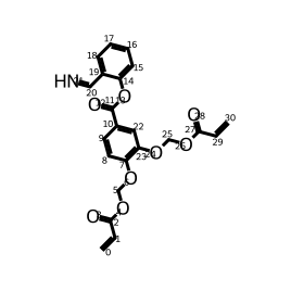 C=CC(=O)OCOc1ccc(C(=O)Oc2ccccc2C=N)cc1OCOC(=O)C=C